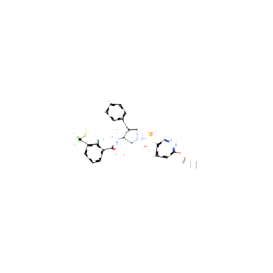 COc1ccc(S(=O)(=O)N2CC(NC(=O)c3cccc(C(F)(F)F)c3Cl)C(c3ccccc3)C2)cn1